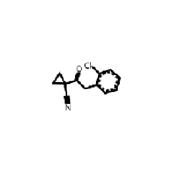 N#CC1(C(=O)Cc2ccccc2Cl)CC1